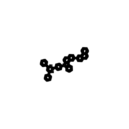 c1ccc(-c2cc(-c3ccccc3)nc(-c3ccc(-n4c5ccccc5c5c6cc(-c7ccc8ccc9ccccc9c8c7)ccc6ccc54)cc3)n2)cc1